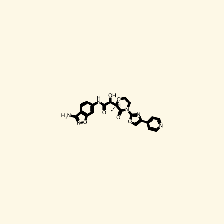 C[C@]1(C(O)C(=O)Nc2ccc3c(N)noc3c2)OCCN(c2nc(-c3ccncc3)co2)C1=O